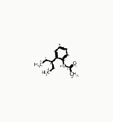 CCC(CC)c1ccccc1OC(C)=O